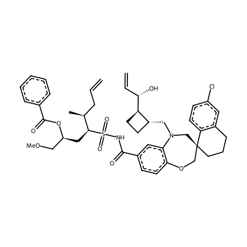 C=CC[C@H](C)[C@H](C[C@@H](COC)OC(=O)c1ccccc1)S(=O)(=O)NC(=O)c1ccc2c(c1)N(C[C@@H]1CC[C@H]1[C@@H](O)C=C)C[C@@]1(CCCc3cc(Cl)ccc31)CO2